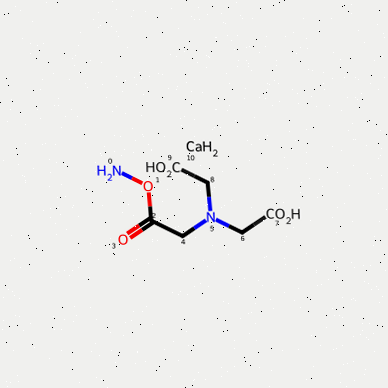 NOC(=O)CN(CC(=O)O)CC(=O)O.[CaH2]